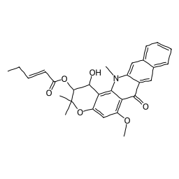 CC/C=C/C(=O)OC1C(O)c2c(cc(OC)c3c(=O)c4cc5ccccc5cc4n(C)c23)OC1(C)C